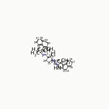 C=C(/C=C/C1=C(Cl)C(=C/C=C2/Nc3ccc4ccccc4c3C2(C)C)/CC1)C(C)(C)c1c(C)ccc2ccccc12